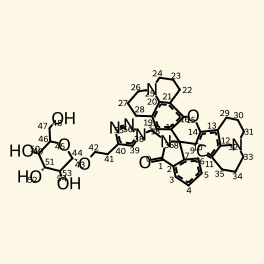 O=C1c2ccccc2C2(c3cc4c5c(c3Oc3c2cc2c6c3CCCN6CCC2)CCCN5CCC4)N1Cn1cc(CCO[C@H]2OC(CO)[C@H](O)[C@@H](O)C2O)nn1